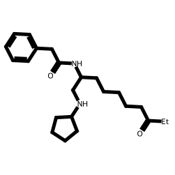 CCC(=O)CCCCCC(CNC1CCCC1)NC(=O)Cc1ccccc1